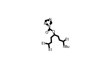 CCCCC(CC)CCC(CCC(CC)CC)OC(=O)n1cncn1